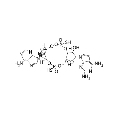 Nc1nc(N)c2ccn([C@@H]3O[C@@H]4COP(=O)(S)O[C@@H]5[C@H](O)[C@@H](COP(=O)(S)O[C@H]4[C@H]3O)O[C@H]5n3cnc4c(N)ncnc43)c2n1